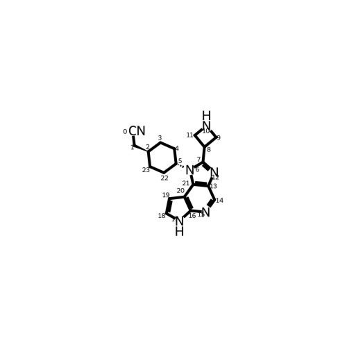 N#CC[C@H]1CC[C@H](n2c(C3CNC3)nc3cnc4[nH]ccc4c32)CC1